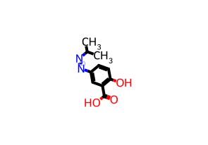 CC(C)/N=N\c1ccc(O)c(C(=O)O)c1